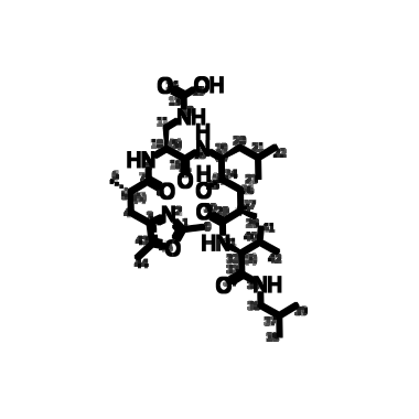 Cc1nc(C[C@H](C)C(=O)N[C@@H](CNC(=O)O)C(=O)N[C@@H](CC(C)C)[C@@H](O)C[C@@H](C)C(=O)N[C@H](C(=O)NCC(C)C)C(C)C)c(C)o1